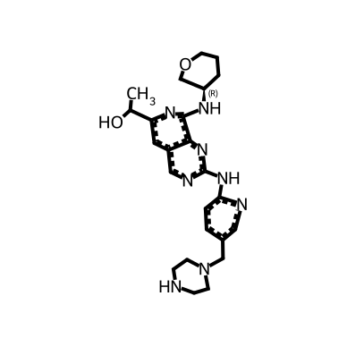 CC(O)c1cc2cnc(Nc3ccc(CN4CCNCC4)cn3)nc2c(N[C@@H]2CCCOC2)n1